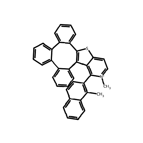 Cc1c(-c2c3c4c(sc3cc[n+]2C)-c2ccccc2-c2ccccc2-c2ccccc2-4)ccc2ccccc12